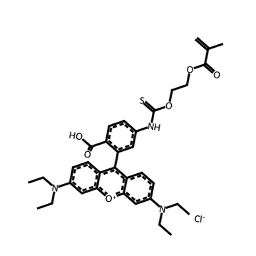 C=C(C)C(=O)OCCOC(=S)Nc1ccc(C(=O)O)c(-c2c3ccc(N(CC)CC)cc3[o+]c3cc(N(CC)CC)ccc23)c1.[Cl-]